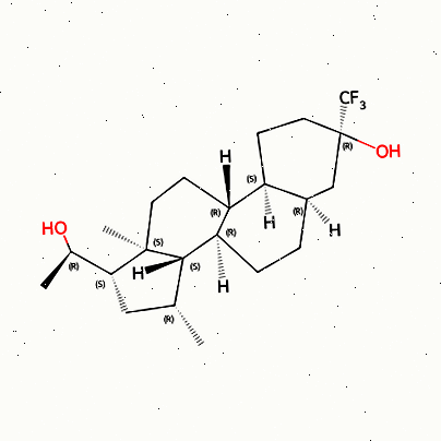 C[C@@H]1C[C@H]([C@@H](C)O)[C@@]2(C)CC[C@H]3[C@@H](CC[C@@H]4C[C@@](O)(C(F)(F)F)CC[C@@H]43)[C@H]12